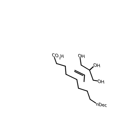 C=CC.CCCCCCCCCCCCCCCCCC(=O)O.OCC(O)CO